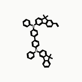 C=Cc1ccc2c(c1)C(C)(C)c1ccc(N(c3ccccc3)c3ccc(-c4ccc(N(c5ccccc5)c5ccc6c(c5)-c5ccccc5C6(C)C)cc4)cc3)cc1-2